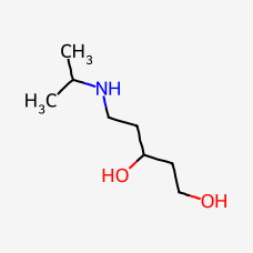 CC(C)NCCC(O)CCO